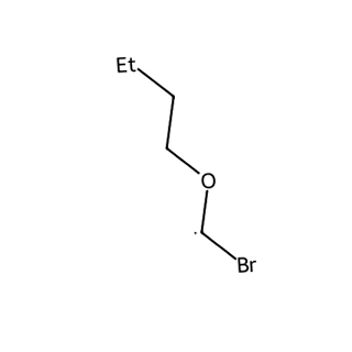 CCCCO[CH]Br